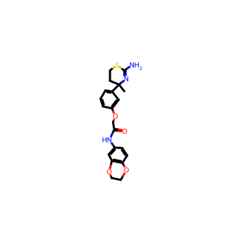 CC1(c2cccc(OCC(=O)Nc3ccc4c(c3)OCCO4)c2)CCSC(N)=N1